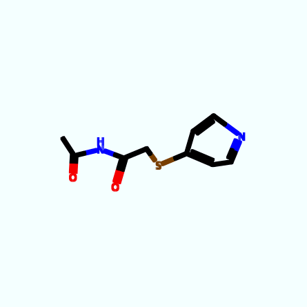 CC(=O)NC(=O)CSc1ccncc1